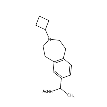 CC(=O)NC(C)c1ccc2c(c1)CCN(C1CCC1)CC2